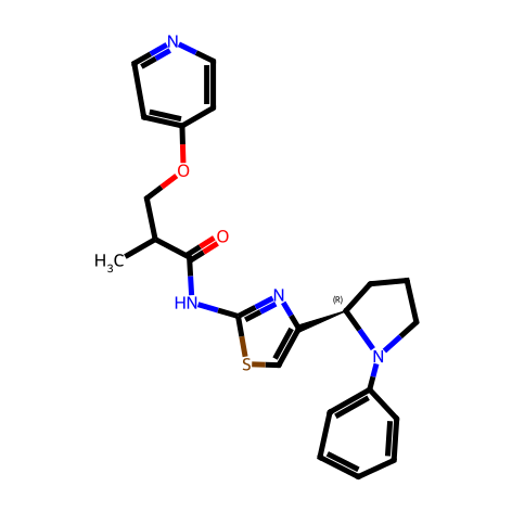 CC(COc1ccncc1)C(=O)Nc1nc([C@H]2CCCN2c2ccccc2)cs1